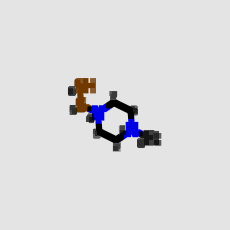 CCN1CCN(SS)CC1